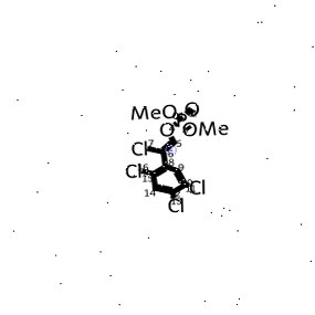 COP(=O)(OC)O/C=C(\Cl)c1cc(Cl)c(Cl)cc1Cl